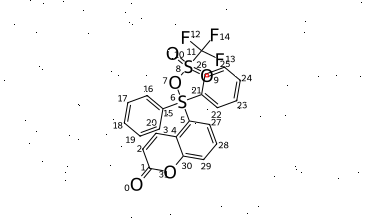 O=c1ccc2c(S(OS(=O)(=O)C(F)(F)F)(c3ccccc3)c3ccccc3)cccc2o1